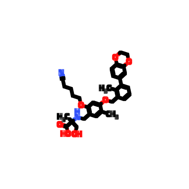 Cc1cc(CNC(C)(CO)C(=O)O)c(OCCCCC#N)cc1OCc1cccc(-c2ccc3c(c2)OCCO3)c1C